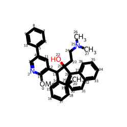 COc1ncc(-c2ccccc2)cc1C(c1ccccc1C)C(O)(CCN(C)C)c1cccc2ccccc12